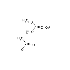 CC#N.CC(=O)[O-].CC(=O)[O-].[Cu+2]